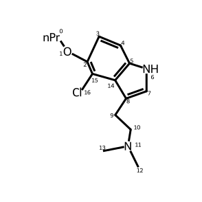 CCCOc1ccc2[nH]cc(CCN(C)C)c2c1Cl